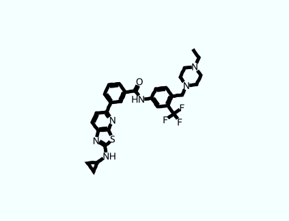 CCN1CCN(Cc2ccc(NC(=O)c3cccc(-c4ccc5nc(NC6CC6)sc5n4)c3)cc2C(F)(F)F)CC1